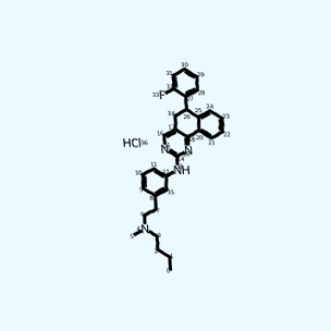 CCCCN(C)CCc1cccc(Nc2ncc3c(n2)-c2ccccc2C(c2ccccc2F)C3)c1.Cl